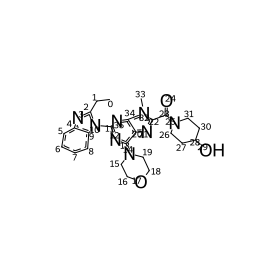 CCc1nc2ccccc2n1-c1nc(N2CCOCC2)c2nc(C(=O)N3CCC(O)CC3)n(C)c2n1